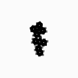 c1ccc2c(c1)-c1ccccc1C21c2ccccc2-c2c(Sc3c4ccccc4c(-c4ccc5ccccc5c4)c4cnccc34)cccc21